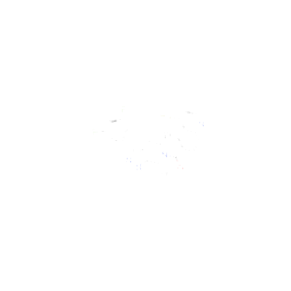 CCC1Cc2c(nn(C)c2-c2cc(F)cc(F)c2)C(CC)N1C(=O)c1ccc2nccc(S)c2c1